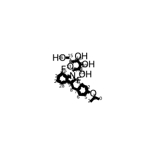 CC(C)Oc1ccc(Cc2cn([C@@H]3O[C@H](CO)[C@@H](O)[C@H](O)[C@H]3O)c3c(F)cccc23)c(F)c1